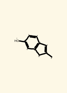 CC1=Cc2ccc(O)cc2C1